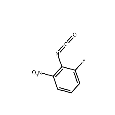 O=C=Nc1c(F)cccc1[N+](=O)[O-]